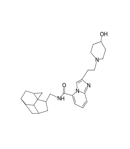 O=C(NCC1CC2CC3CC4CC14C2C3)c1cccc2nc(CCN3CCC(O)CC3)cn12